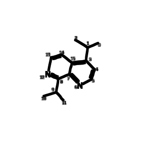 CC(C)c1ccnc2c(C(C)C)nccc12